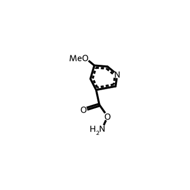 COc1cncc(C(=O)ON)c1